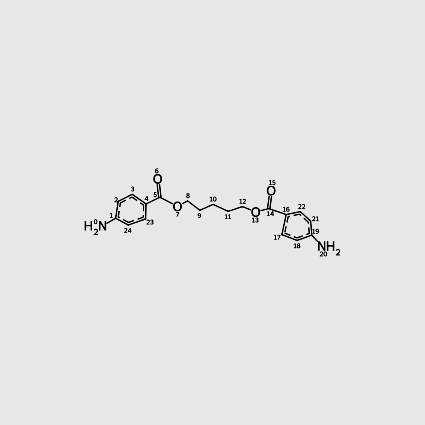 Nc1ccc(C(=O)OCCCCCOC(=O)c2ccc(N)cc2)cc1